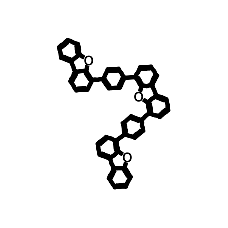 c1ccc2c(c1)oc1c(-c3ccc(-c4cccc5c4oc4c(-c6ccc(-c7cccc8c7oc7ccccc78)cc6)cccc45)cc3)cccc12